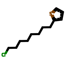 ClCCCCCCCCc1cccs1